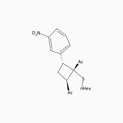 CCCCCCS[C@]1(C(C)=O)[C@@H](C(C)=O)C[C@@H]1c1cccc([N+](=O)[O-])c1